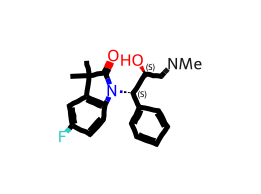 CNC[C@H](O)[C@H](c1ccccc1)N1C(=O)C(C)(C)c2cc(F)ccc21